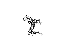 CCCC(C(=O)NC=O)N1Cc2c(ccc(C(C)C)c2P)C1=O